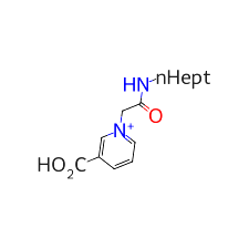 CCCCCCCNC(=O)C[n+]1cccc(C(=O)O)c1